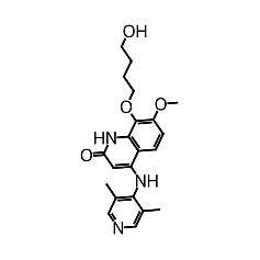 COc1ccc2c(Nc3c(C)cncc3C)cc(=O)[nH]c2c1OCCCCO